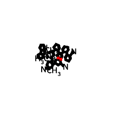 CN1C(N2C3=C(CCC=C3)C3C=CC=NC32C)=CC(C2=C(c3ccccc3C3C=CCCC3C3=CCCC=C3C#N)C=CCC2)=CC1n1c2c(c3c1CCC(C)(C#N)C3)CC(C#N)C=C2